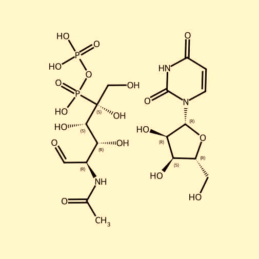 CC(=O)N[C@@H](C=O)[C@@H](O)[C@H](O)[C@](O)(CO)P(=O)(O)OP(=O)(O)O.O=c1ccn([C@@H]2O[C@H](CO)[C@@H](O)[C@H]2O)c(=O)[nH]1